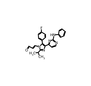 CC(C)c1nc(-c2ccnc(Nc3ccccc3)n2)c(-c2ccc(F)cc2)n1C=CC=O